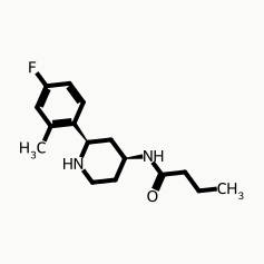 CCCC(=O)N[C@H]1CCN[C@@H](c2ccc(F)cc2C)C1